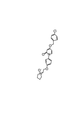 O=c1cc(OCc2ccc(Cl)cc2)ccn1-c1ccc(OCC[N+]2([O-])CCCC2)cc1